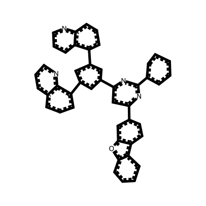 c1ccc(-c2nc(-c3cc(-c4cccc5ncccc45)cc(-c4cccc5cccnc45)c3)cc(-c3ccc4c(c3)oc3ccccc34)n2)cc1